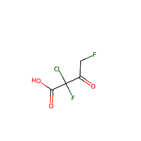 O=C(O)C(F)(Cl)C(=O)CF